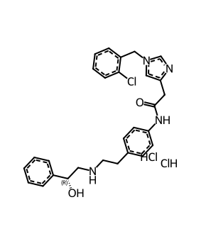 Cl.Cl.O=C(Cc1cn(Cc2ccccc2Cl)cn1)Nc1ccc(CCNC[C@H](O)c2ccccc2)cc1